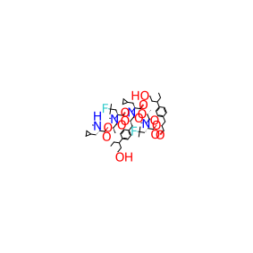 CCC(CCO)c1ccc(CC(C=O)OC(=O)[C@H](CC(C)(C)F)N(C)C(=O)[C@@H](C)OC(=O)[C@H](CC2CC2)N(C)C(=O)[C@@H](Cc2ccc(C(CC)CCO)cc2)OC(=O)[C@H](CC(C)(C)F)N(C)C(=O)[C@@H](C)OC(=O)[C@H](CC2CC2)NC)cc1